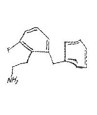 NCCc1c(F)cccc1Cc1ccccc1